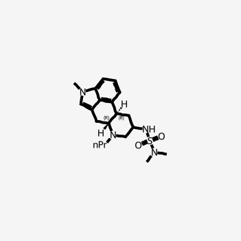 CCCN1CC(NS(=O)(=O)N(C)C)C[C@@H]2c3cccc4c3c(cn4C)C[C@H]21